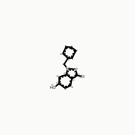 CCc1nn(Cc2ccccc2)c2cc(O)ccc12